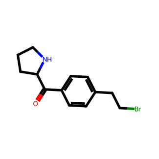 O=C(c1ccc(CCBr)cc1)C1CCCN1